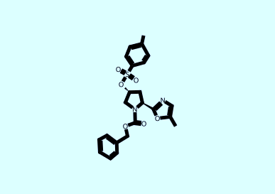 Cc1ccc(S(=O)(=O)O[C@@H]2C[C@@H](c3ncc(C)o3)N(C(=O)OCc3ccccc3)C2)cc1